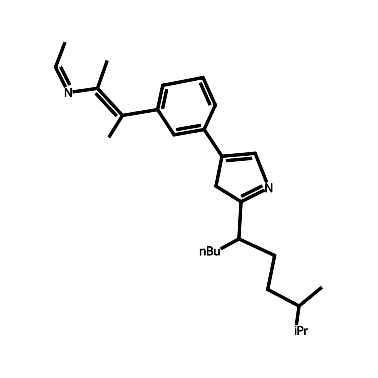 C/C=N\C(C)=C(/C)c1cccc(C2=CN=C(C(CCCC)CCC(C)C(C)C)C2)c1